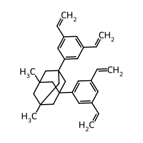 C=Cc1cc(C=C)cc(C23CC4(C)CC(C)(C2)CC(c2cc(C=C)cc(C=C)c2)(C4)C3)c1